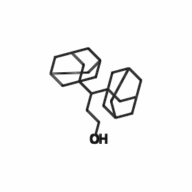 OCCC(C12CC3CC(CC(C3)C1)C2)C12CC3CC(CC(C3)C1)C2